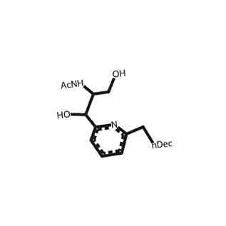 CCCCCCCCCCCc1cccc(C(O)C(CO)NC(C)=O)n1